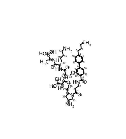 CCCCc1ccc(-c2ccc(C(=O)NCCC(=O)N3C[C@@H](N)C[C@H]3C(=O)N[C@H](C(=O)N[C@@H](CC)C(=O)N[C@@H](CCCCN)C(=O)N[C@@H](C)B(O)O)[C@@H](C)O)cc2)cc1